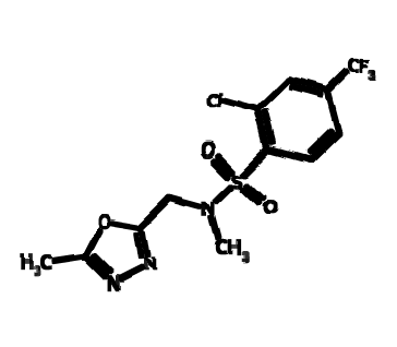 Cc1nnc(CN(C)S(=O)(=O)c2ccc(C(F)(F)F)cc2Cl)o1